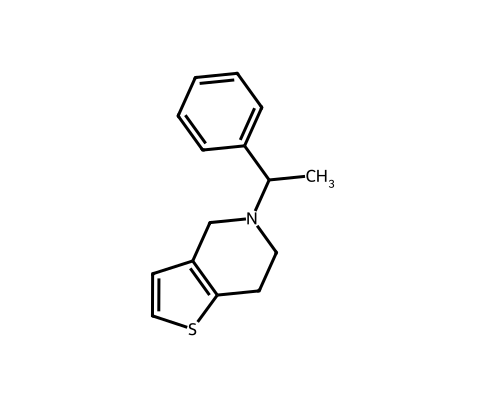 CC(c1ccccc1)N1CCc2sccc2C1